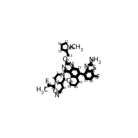 C=C(F)C(=O)N1CCN(c2nc(OCC3CCCN3C)nc3cc(-c4ccc(F)c5sc(N)nc45)c4c(c23)OCCC4)CC1CC#N